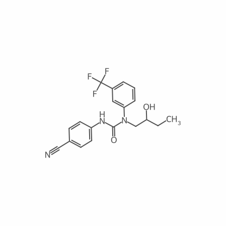 CCC(O)CN(C(=O)Nc1ccc(C#N)cc1)c1cccc(C(F)(F)F)c1